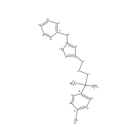 CC(C)(CCCc1coc(Cc2ccccc2)c1)c1ccc(Cl)cc1